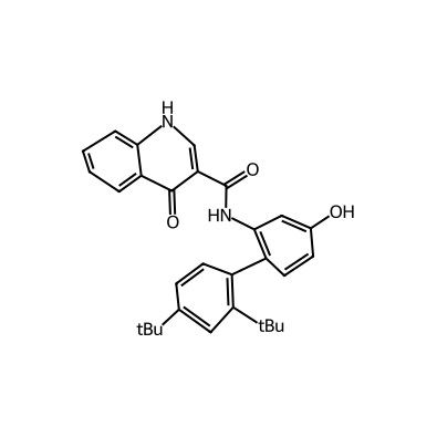 CC(C)(C)c1ccc(-c2ccc(O)cc2NC(=O)c2c[nH]c3ccccc3c2=O)c(C(C)(C)C)c1